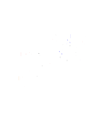 C[PH](=O)OCC1OC(n2cc(I)c(=O)[nH]c2=O)CC1O